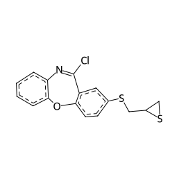 ClC1=Nc2ccccc2Oc2ccc(SCC3CS3)cc21